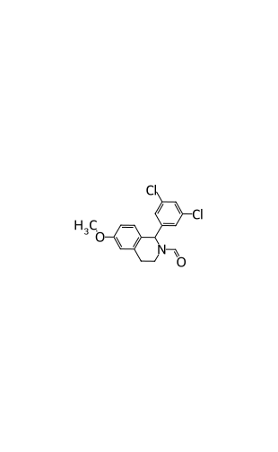 COc1ccc2c(c1)CCN(C=O)C2c1cc(Cl)cc(Cl)c1